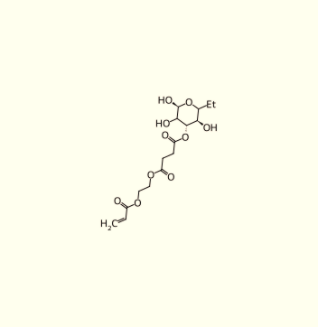 C=CC(=O)OCCOC(=O)CCC(=O)O[C@@H]1C(O)[C@@H](O)OC(CC)[C@H]1O